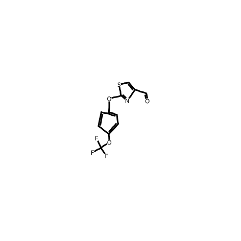 O=Cc1csc(Oc2ccc(OC(F)(F)F)cc2)n1